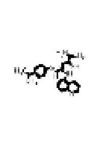 C=C(N)C(=N)/C=C(/NSc1ccc(C(C)C)cc1)Nc1cccc2ncccc12